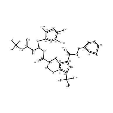 CC(C)(C)OC(=O)NC(CC(=O)N1CCn2c(C(F)(F)F)nc(C(=O)OCc3ccccc3)c2C1)Cc1cc(F)c(F)cc1F